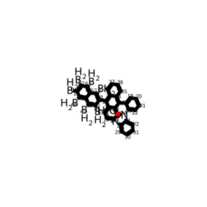 Bc1c(B)c(B)c2c(B)c(-c3c4ccccc4c(-c4ccccc4-n4c(C)nc5ccccc54)c4ccccc34)c(B)c(B)c2c1B